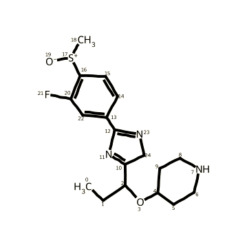 CCC(OC1CCNCC1)C1=NC(c2ccc([S+](C)[O-])c(F)c2)=NC1